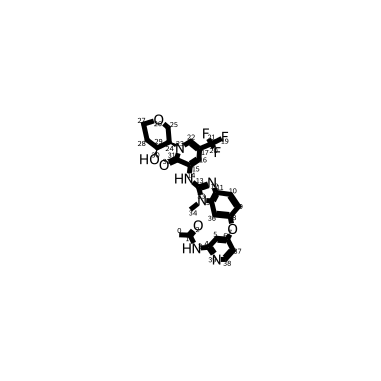 CC(=O)Nc1cc(Oc2ccc3nc(Nc4cc(C(F)(F)F)cn([C@@H]5COCC[C@H]5O)c4=O)n(C)c3c2)ccn1